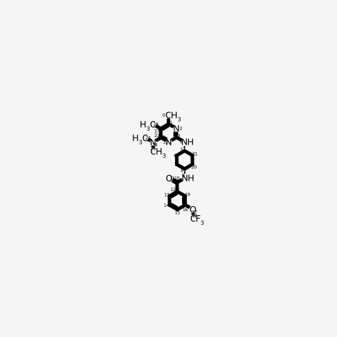 Cc1nc(N[C@H]2CC[C@@H](NC(=O)c3cccc(OC(F)(F)F)c3)CC2)nc(N(C)C)c1C